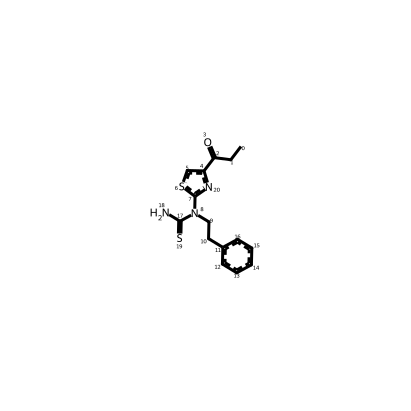 CCC(=O)c1csc(N(CCc2ccccc2)C(N)=S)n1